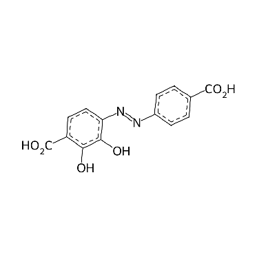 O=C(O)c1ccc(N=Nc2ccc(C(=O)O)c(O)c2O)cc1